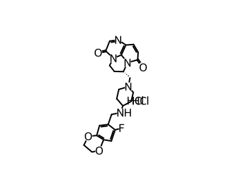 Cl.Cl.O=c1cnc2ccc(=O)n3c2n1CC[C@H]3CN1CCC(NCc2cc3c(cc2F)OCCO3)CC1